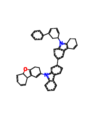 C1=CC2OC3=C(C=C(n4c5ccccc5c5ccc(-c6ccc7c(c6)c6c(n7C7C=CC=C(c8ccccc8)C7)CCC=C6)cc54)CC3)C2C=C1